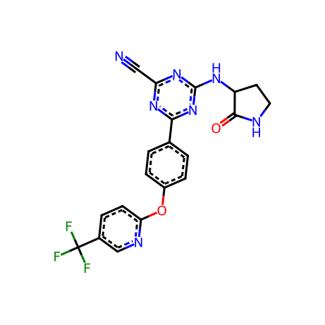 N#Cc1nc(NC2CCNC2=O)nc(-c2ccc(Oc3ccc(C(F)(F)F)cn3)cc2)n1